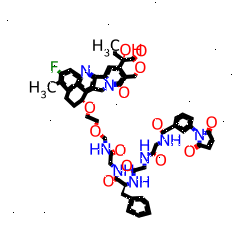 CC[C@@]1(O)C(=O)OCc2c1cc1n(c2=O)Cc2c-1nc1cc(F)c(C)c3c1c2[C@@H](OCCOCNC(=O)CNC(=O)[C@H](Cc1ccccc1)NC(=O)CNC(=O)CNC(=O)c1cccc(N2C(=O)C=CC2=O)c1)CC3